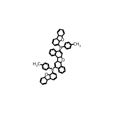 Cc1ccc(N(C2=CC3C(OC4C=C(N(C5=CC=CC6C5OC5C=CC=CC56)c5ccc(C)cc5)c5ccccc5C43)c3ccccc32)C2=CC=CC3C2OC2C=CC=CC23)cc1